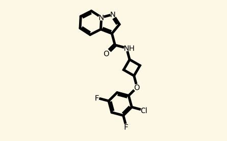 O=C(NC1CC(Oc2cc(F)cc(F)c2Cl)C1)c1cnn2ccccc12